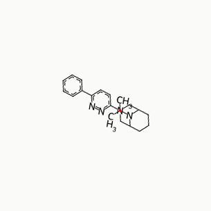 CC(C)N1C2CCCC1CN(c1ccc(-c3ccccc3)nn1)C2